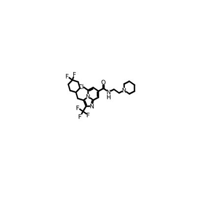 O=C(NCCN1CCCCC1)c1cc(Cl)n2c(CC3CCC(F)(F)CC3)c(C(F)(F)F)nc2c1